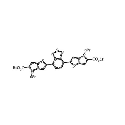 CCCn1c(C(=O)OCC)cc2sc(-c3ccc(-c4cc5c(cc(C(=O)OCC)n5CCC)s4)c4nsnc34)cc21